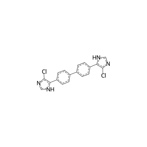 Clc1nc[nH]c1-c1ccc(-c2ccc(-c3[nH]cnc3Cl)cc2)cc1